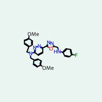 COc1ccc(CN(Cc2ccc(OC)cc2)c2ccc(-c3nnc(CNc4ccc(F)cc4)o3)nn2)cc1